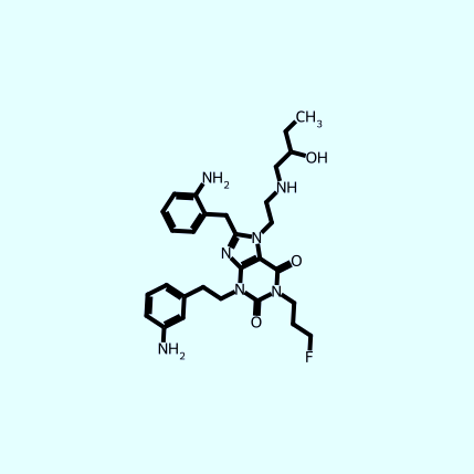 CCC(O)CNCCn1c(Cc2ccccc2N)nc2c1c(=O)n(CCCF)c(=O)n2CCc1cccc(N)c1